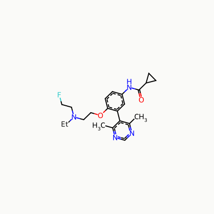 CCN(CCF)CCOc1ccc(NC(=O)C2CC2)cc1-c1c(C)ncnc1C